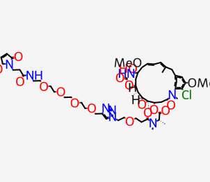 COc1cc2cc(c1Cl)N(C)C(=O)C[C@H](OC(=O)[C@H](C)N(C)C(=O)CCOCCn1cc(COCCOCCOCCOCCNC(=O)CCN3C(=O)C=CC3=O)nn1)[C@@]1(C)O[C@H]1[C@H](C)[C@@H]1C[C@@](O)(NC(=O)O1)C(OC)/C=C/C=C(\C)C2